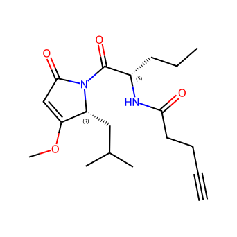 C#CCCC(=O)N[C@@H](CCC)C(=O)N1C(=O)C=C(OC)[C@H]1CC(C)C